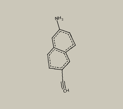 C#Cc1ccc2cc(N)ccc2c1